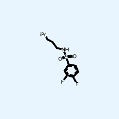 CC(C)CCCNS(=O)(=O)c1ccc(F)c(F)c1